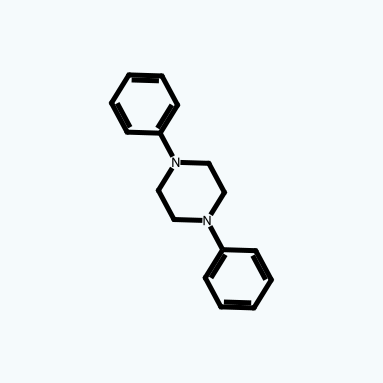 c1ccc(N2CCN(c3ccccc3)CC2)cc1